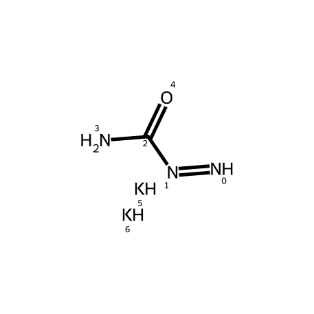 N=NC(N)=O.[KH].[KH]